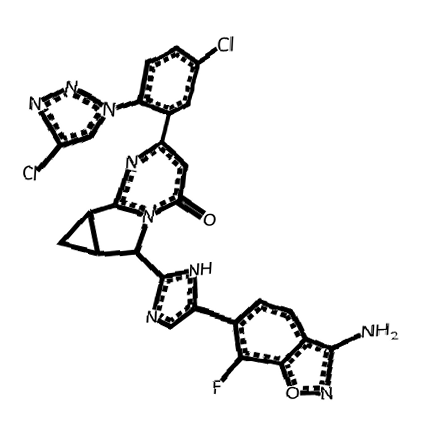 Nc1noc2c(F)c(-c3cnc(C4C5CC5c5nc(-c6cc(Cl)ccc6-n6cc(Cl)nn6)cc(=O)n54)[nH]3)ccc12